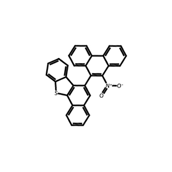 O=[N+]([O-])c1c(-c2cc3ccccc3c3sc4ccccc4c23)c2ccccc2c2ccccc12